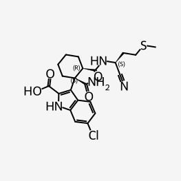 CSCC[C@@H](C#N)NC(=O)[C@@H]1CCCC[C@@]1(C(N)=O)c1c(C(=O)O)[nH]c2cc(Cl)ccc12